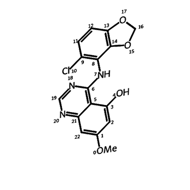 COc1cc(O)c2c(Nc3c(Cl)ccc4c3OCO4)ncnc2c1